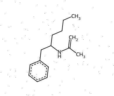 C=C(C)NC(CCCC)Cc1ccccc1